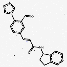 O=Cc1cc(/C=C/C(=O)NC2CCc3ccccc32)ccc1-n1ccnc1